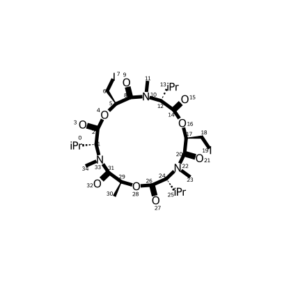 CC(C)[C@@H]1C(=O)O[C@@H](CI)C(=O)N(C)[C@H](C(C)C)C(=O)O[C@@H](CI)C(=O)N(C)[C@H](C(C)C)C(=O)O[C@@H](C)C(=O)N1C